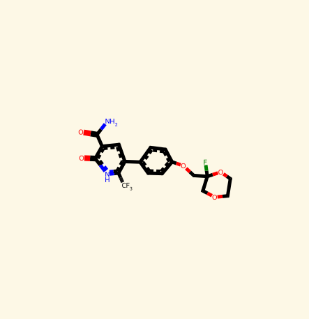 NC(=O)c1cc(-c2ccc(OCC3(F)COCCO3)cc2)c(C(F)(F)F)[nH]c1=O